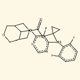 CC1(OC(=O)N2CC3COCC(C2)C3Oc2ncnc(Nc3c(F)cccc3F)c2F)CC1